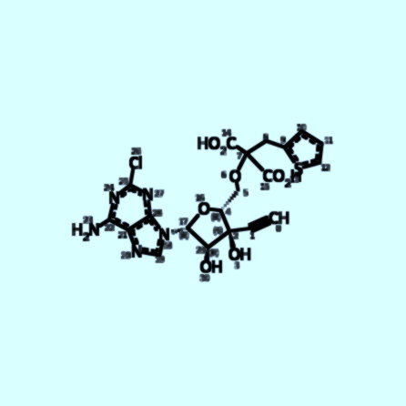 C#C[C@@]1(O)[C@@H](COC(Cc2cccs2)(C(=O)O)C(=O)O)O[C@@H](n2cnc3c(N)nc(Cl)nc32)[C@@H]1O